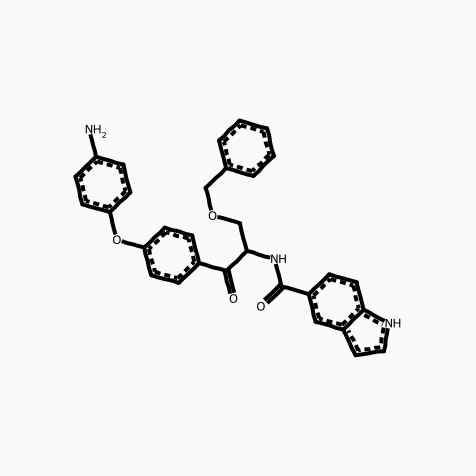 Nc1ccc(Oc2ccc(C(=O)C(COCc3ccccc3)NC(=O)c3ccc4[nH]ccc4c3)cc2)cc1